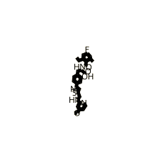 CCc1cc(F)cc(C)c1C(=O)NC(Cc1ccc(-c2cc(CNc3cc(OC)ccn3)sn2)cc1)C(=O)O